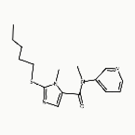 CCCCCSc1ncc(C(=O)N(C)c2cccnc2)n1C